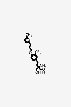 Cc1ccc(CCCOc2ccc(CCC(N)(CO)CO)cc2C(F)(F)F)s1